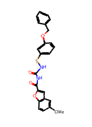 COc1ccc2oc(C(=O)NC(=O)NSc3cccc(OCc4ccccc4)c3)cc2c1